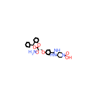 N=C(NC1CCN(C(=O)O)CC1)c1ccc(OC[C@H](ON)C(=O)OC(c2ccccc2)c2ccccc2)cc1